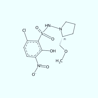 COC[C@H]1CCCN1NS(=O)(=O)c1c(Cl)ccc([N+](=O)[O-])c1O